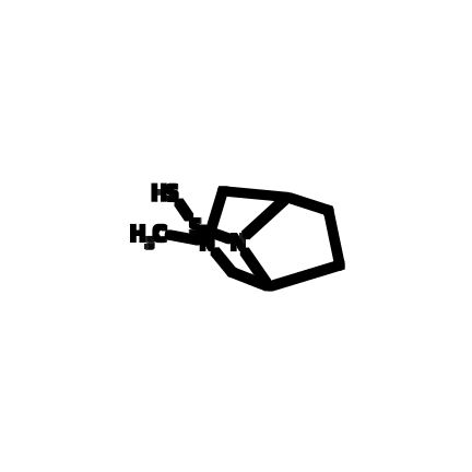 CN1CC2CCC(C1)N2SS